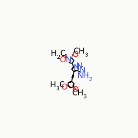 C=CC(=O)N1CC(c2cc(C#Cc3cc(OC)cc(OC)c3)c3c(N)ncnn23)C[C@@H]1COC